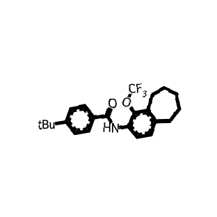 CC(C)(C)c1ccc(C(=O)Nc2ccc3c(c2OC(F)(F)F)CCCCC3)cc1